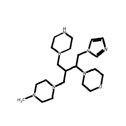 CN1CCN(C[C](CN2CCNCC2)C(Cn2ccnc2)N2CCOCC2)CC1